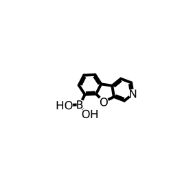 OB(O)c1cccc2c1oc1cnccc12